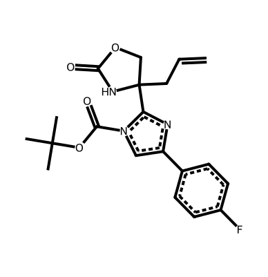 C=CCC1(c2nc(-c3ccc(F)cc3)cn2C(=O)OC(C)(C)C)COC(=O)N1